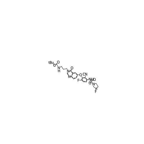 CC(C)(C)OC(=O)NCCCn1cnc2ccc(Oc3c(F)ccc(NS(=O)(=O)N4CC[C@@H](F)C4)c3C#N)cc2c1=O